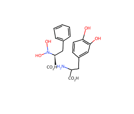 NC(Cc1ccc(O)c(O)c1)C(=O)O.O=C(O)[C@H](Cc1ccccc1)N(O)O